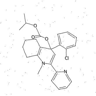 CC(C)OC(=O)OC1(c2ccccc2Cl)C=C(c2ccccn2)N(C)C2=C1CCCC2